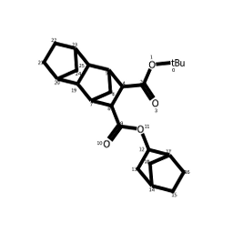 CC(C)(C)OC(=O)C1C2CC(C1C(=O)OC1CC3CCC1C3)C1C3CCC(C3)C21